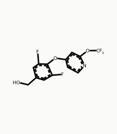 OCc1cc(F)c(Oc2ccnc(OC(F)(F)F)c2)c(F)c1